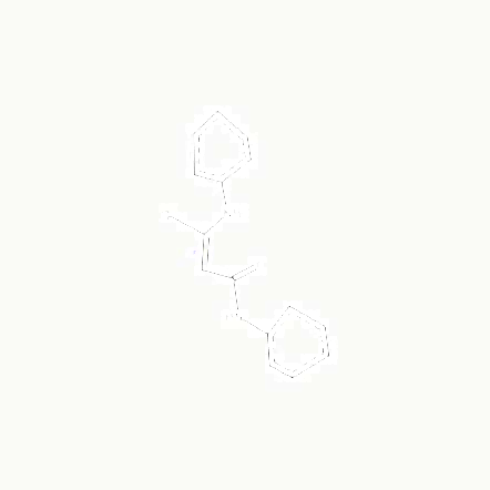 O=C(/C=C(/Cl)Nc1ccccc1)Nc1ccccc1